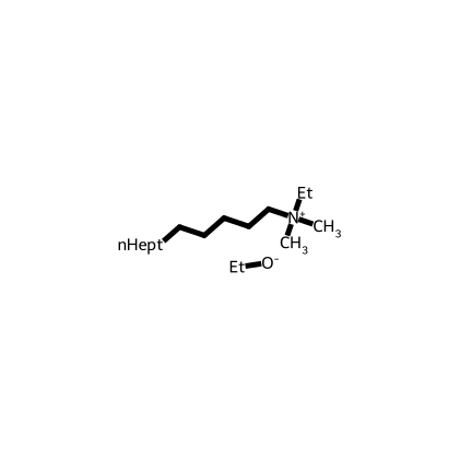 CCCCCCCCCCCC[N+](C)(C)CC.CC[O-]